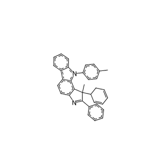 Cc1ccc(-n2c3ccccc3c3ccc4c(c32)C(C)(C2C=CC=CC2)C(c2ccccc2)=N4)cc1